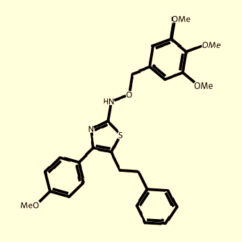 COc1ccc(-c2nc(NOCc3cc(OC)c(OC)c(OC)c3)sc2CCc2ccccc2)cc1